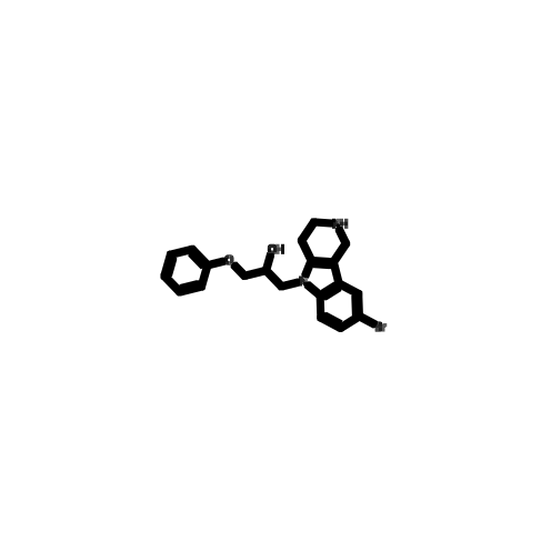 OC(COc1ccccc1)Cn1c2c(c3cc(Br)ccc31)CNCC2